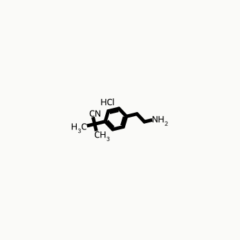 CC(C)(C#N)c1ccc(CCN)cc1.Cl